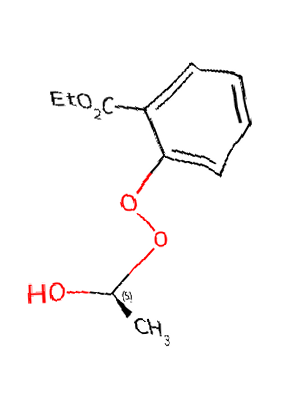 CCOC(=O)c1ccccc1OO[C@@H](C)O